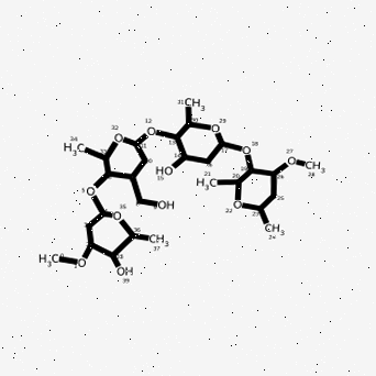 COC1CC(OC2C(CO)CC(OC3C(O)CC(OC4C(C)OC(C)CC4OC)OC3C)OC2C)OC(C)C1O